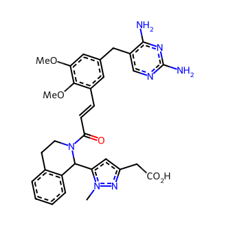 COc1cc(Cc2cnc(N)nc2N)cc(C=CC(=O)N2CCc3ccccc3C2c2cc(CC(=O)O)nn2C)c1OC